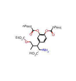 CCCCCC(=O)Oc1ccc(C(C(C)COC(=O)OCC)[C@H](N)C(=O)O)cc1OC(=O)CCCCC